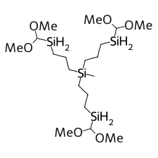 COC(OC)[SiH2]CCC[Si](C)(CCC[SiH2]C(OC)OC)CCC[SiH2]C(OC)OC